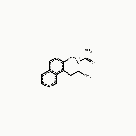 CC(Cc1c(C(=O)O)ccc2ccccc12)OC(N)=O